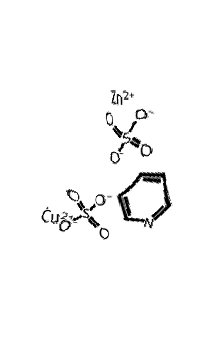 O=S(=O)([O-])[O-].O=S(=O)([O-])[O-].[Cu+2].[Zn+2].c1ccncc1